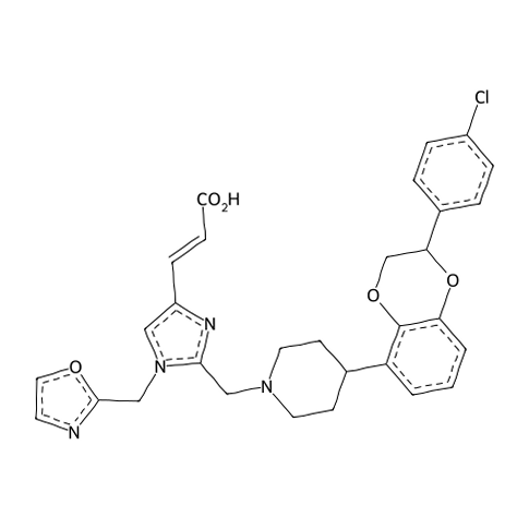 O=C(O)C=Cc1cn(Cc2ncco2)c(CN2CCC(c3cccc4c3OCC(c3ccc(Cl)cc3)O4)CC2)n1